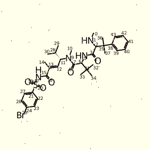 CN[C@H](C(=O)N[C@H](C(=O)N(C)[C@H](/C=C(\C)C(=O)NS(=O)(=O)c1ccc(Br)cc1)C(C)C)C(C)(C)C)C(C)(C)c1ccccc1